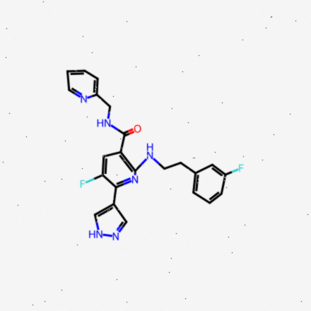 O=C(NCc1ccccn1)c1cc(F)c(-c2cn[nH]c2)nc1NCCc1cccc(F)c1